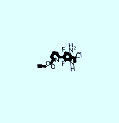 C#CCOC(=O)c1cccc(-c2c(F)c(N)c3c(Cl)c[nH]c3c2F)n1